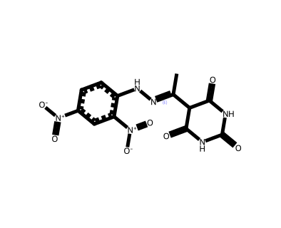 C/C(=N\Nc1ccc([N+](=O)[O-])cc1[N+](=O)[O-])C1C(=O)NC(=O)NC1=O